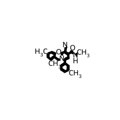 CNC(=O)c1cc(-c2cccc(C)c2)n(Cc2ccc(C)cc2C)c(=O)c1C#N